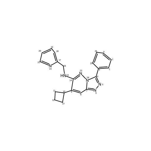 c1ccc(-c2nnc3cc(C4CCC4)c(NCc4ccccn4)nn23)cc1